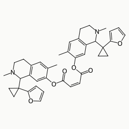 Cc1cc2c(cc1OC(=O)/C=C\C(=O)Oc1cc3c(cc1C)CCN(C)C3C1(c3ccco3)CC1)C(C1(c3ccco3)CC1)N(C)CC2